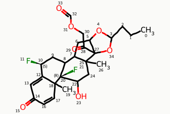 CCCC1OC2CC3C4C[C@H](F)C5=CC(=O)C=CC5(C)[C@@]4(F)C(O)CC3(C)C2(C(=O)COC=O)O1